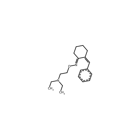 CCN(CC)CCON=C1CCCCC1=Cc1ccccc1